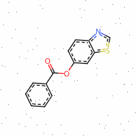 O=C(Oc1ccc2ncsc2c1)c1ccccc1